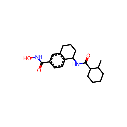 CC1CCCCC1C(=O)NC1CCCc2cc(C(=O)NO)ccc21